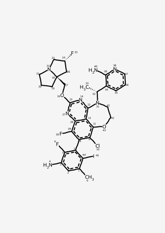 Cc1cc(N)c(F)c(-c2c(Cl)c3c4c(nc(OC[C@@]56CCCN5C[C@H](F)C6)nc4c2F)N([C@H](C)c2cccnc2N)CCO3)c1I